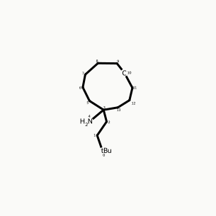 CC(C)(C)CCC1(N)CCCCCCCCC1